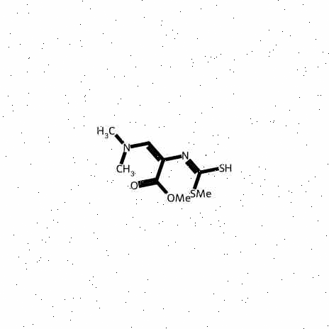 COC(=O)C(=C\N(C)C)/N=C(/S)SC